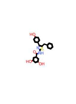 O=C(Nc1nc(-c2ccc(O)cc2)c(Cc2ccccc2)s1)c1cc(O)cc(O)c1